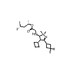 C[C@@H](C[C@H](F)I)OC(=O)CNC1C(C2CCC2)C(C2CC(F)(F)C2)=N[N+]1(C)C